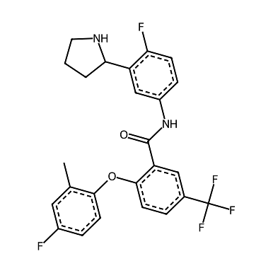 Cc1cc(F)ccc1Oc1ccc(C(F)(F)F)cc1C(=O)Nc1ccc(F)c(C2CCCN2)c1